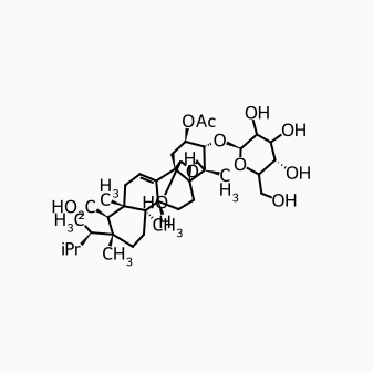 CC(=O)O[C@@H]1C[C@]23C4=CC[C@@]5(C)[C@H](C(=O)O)[C@@](C)([C@H](C)C(C)C)CC[C@]5(C)[C@H]4CC[C@H]2[C@](C)(COC3O)[C@H]1O[C@@H]1OC(CO)[C@@H](O)C(O)C1O